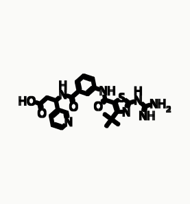 CC(C)(C)c1nc(NC(=N)N)sc1C(=O)Nc1cccc(C(=O)NC(CC(=O)O)c2cccnc2)c1